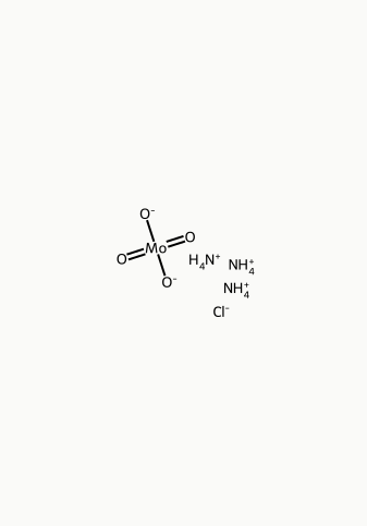 [Cl-].[NH4+].[NH4+].[NH4+].[O]=[Mo](=[O])([O-])[O-]